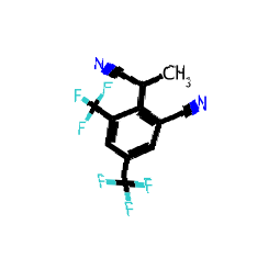 CC(C#N)c1c(C#N)cc(C(F)(F)F)cc1C(F)(F)F